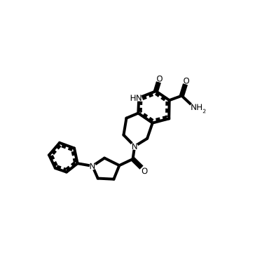 NC(=O)c1cc2c([nH]c1=O)CCN(C(=O)C1CCN(c3ccccc3)C1)C2